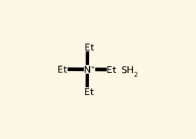 CC[N+](CC)(CC)CC.S